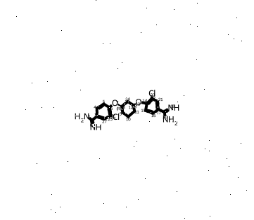 N=C(N)c1ccc(O[C@@H]2CCC[C@H](Oc3ccc(C(=N)N)cc3Cl)C2)c(Cl)c1